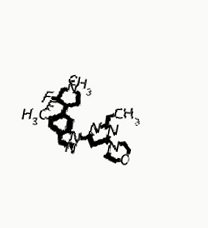 CCc1nc(N2CCOCC2)cc(-n2ncc3cc(C)c(C4CCN(C)CC4(F)F)cc32)n1